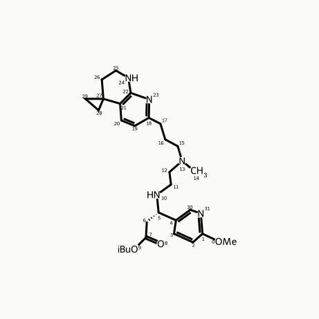 COc1ccc([C@H](CC(=O)OCC(C)C)NCCN(C)CCCc2ccc3c(n2)NCCC32CC2)cn1